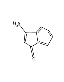 BC1=CC(=O)c2ccccc21